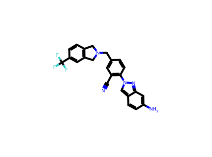 N#Cc1cc(CN2Cc3ccc(C(F)(F)F)cc3C2)ccc1-n1cc2ccc(N)cc2n1